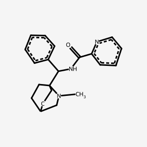 CN1CC2CCC1(C(NC(=O)c1ccccn1)c1ccccc1)CC2